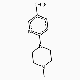 CN1CCN(c2ccc([C]=O)cn2)CC1